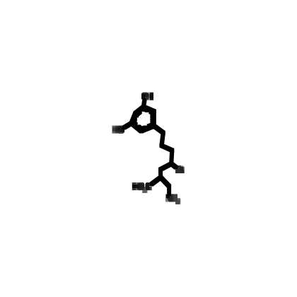 CCC(CCCc1cc(O)cc(O)c1)CC(CN)C(=O)O